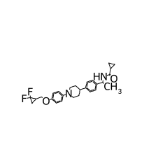 C[C@H](NC(=O)C1CC1)c1ccc(C2CCN(c3ccc(OCC4CC4(F)F)cc3)CC2)cc1